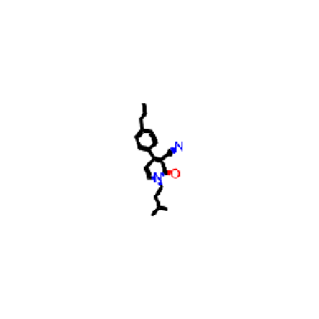 CCCc1ccc(-c2ccn(CCC(C)C)c(=O)c2C#N)cc1